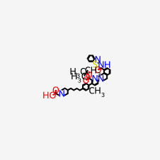 Cc1cc(CCCCC2CCN(CC(=O)O)CC2)ccc1-c1ccc(N2CCc3cccc(C(=O)Nc4nc5ccccc5s4)c3C2)nc1C(=O)OC(C)(C)C